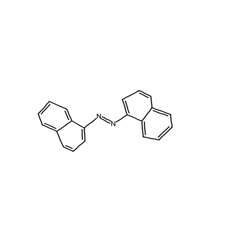 c1ccc2c(/N=N/c3cccc4ccccc34)cccc2c1